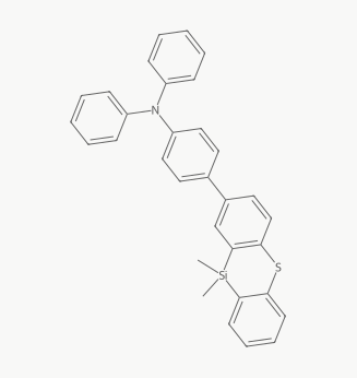 C[Si]1(C)c2ccccc2Sc2ccc(-c3ccc(N(c4ccccc4)c4ccccc4)cc3)cc21